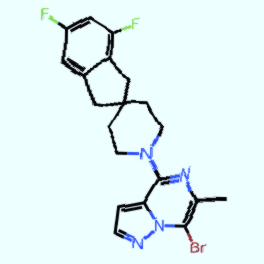 Cc1nc(N2CCC3(CC2)Cc2cc(F)cc(F)c2C3)c2ccnn2c1Br